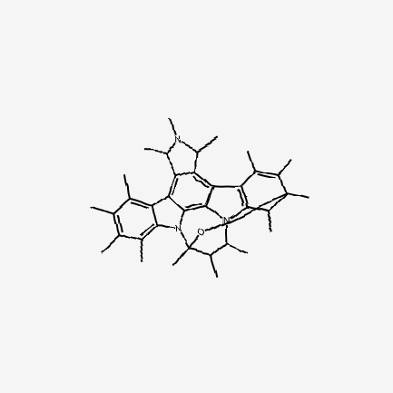 CC1=C(C)C2(C)OC3(C)C(C)C(C)n4c(c1c1c5c(c6c7c(C)c(C)c(C)c(C)c7n3c6c14)C(C)N(C)C5C)C2C